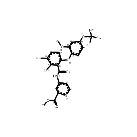 COC(=O)c1cc(NC(=O)c2c(Oc3ccc(OC(F)(F)F)cc3OC)ccc(F)c2Cl)ccn1